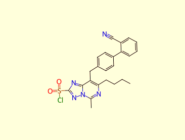 CCCCc1nc(C)n2nc(S(=O)(=O)Cl)nc2c1Cc1ccc(-c2ccccc2C#N)cc1